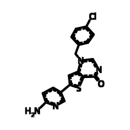 Nc1ccc(-c2cc3c(s2)c(=O)ncn3Cc2ccc(Cl)cc2)cn1